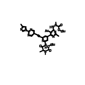 CC(=O)c1c(NN(C)C(=O)OC(C)(C)C)nc(C)nc1-c1cc(C#Cc2cnc(-n3cnc(C)c3)nc2)nc(NC(=O)C(C)N(C)C(=O)OC(C)(C)C)c1